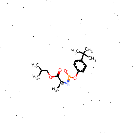 CC(C)COC(=O)[C@H](C)N=[P+]([O-])Oc1ccc(C(C)(C)C)cc1